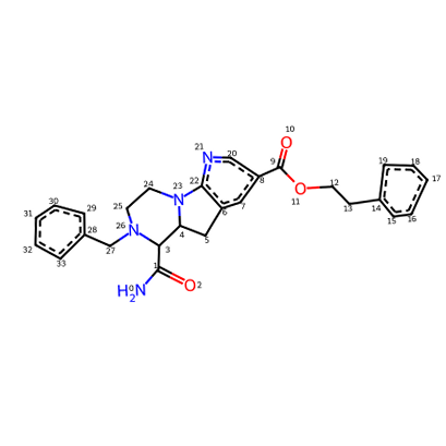 NC(=O)C1C2Cc3cc(C(=O)OCCc4ccccc4)cnc3N2CCN1Cc1ccccc1